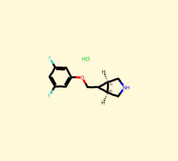 Cl.Fc1cc(F)cc(OCC2[C@H]3CNC[C@@H]23)c1